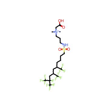 C[N+](C)(CCCNS(=O)(=O)CCCCC(CC(CC(F)(C(F)(F)F)C(F)(F)F)C(F)(F)F)C(F)(F)F)CC(=O)O